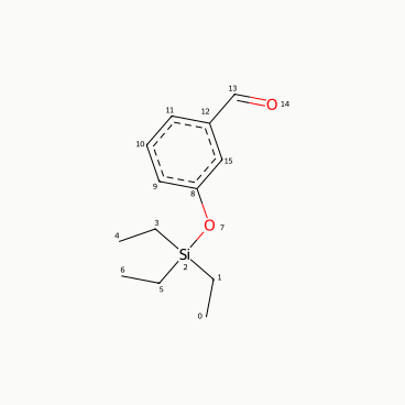 CC[Si](CC)(CC)Oc1cccc(C=O)c1